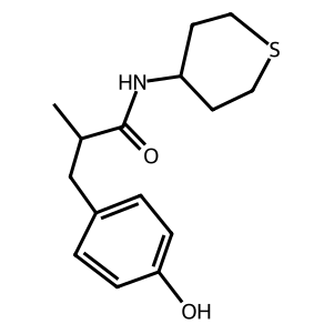 CC(Cc1ccc(O)cc1)C(=O)NC1CCSCC1